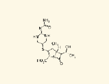 C[C@@H](O)[C@H]1C(=O)N2C(C(=O)O)=C(SC3CNC(=NC(N)=O)NC3)[C@H](C)[C@H]12